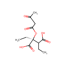 CCC(C(=O)O)[C@](CC)(OC(=O)CC(C)=O)C(=O)O